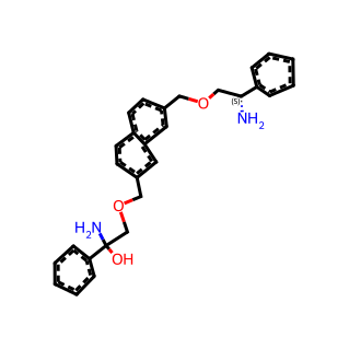 N[C@H](COCc1ccc2ccc(COCC(N)(O)c3ccccc3)cc2c1)c1ccccc1